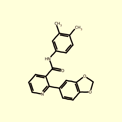 Cc1ccc(NC(=O)c2cccnc2-c2ccc3c(c2)OCO3)cc1C